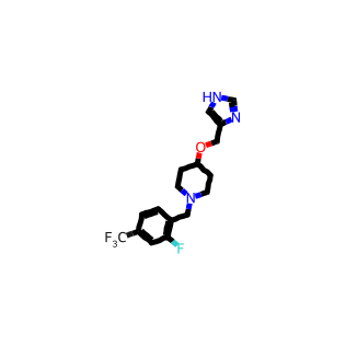 Fc1cc(C(F)(F)F)ccc1CN1CCC(OCc2c[nH]cn2)CC1